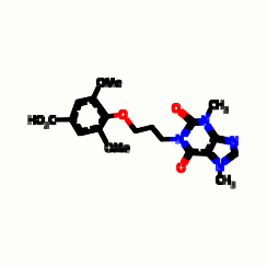 COc1cc(C(=O)O)cc(OC)c1OCCCn1c(=O)c2c(ncn2C)n(C)c1=O